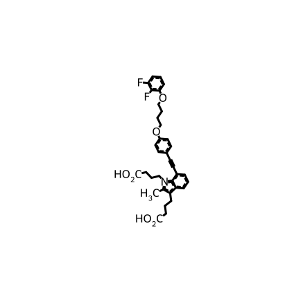 Cc1c(CCCC(=O)O)c2cccc(C#Cc3ccc(OCCCCOc4cccc(F)c4F)cc3)c2n1CCCC(=O)O